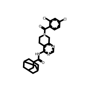 O=C(c1ccc(Cl)cc1Cl)N1CCc2c(ncnc2NC(=O)C23CC4CC(CC(C4)C2)C3)C1